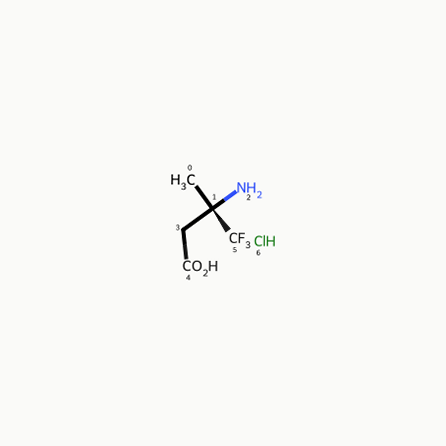 C[C@](N)(CC(=O)O)C(F)(F)F.Cl